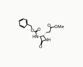 COC(=O)CC[C@@H]1NC(=O)[C@@H]1NC(=O)OCc1ccccc1